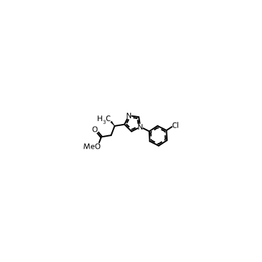 COC(=O)C[C@@H](C)c1cn(-c2cccc(Cl)c2)cn1